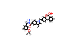 Cc1c(C)n(Cc2ccc(-c3ccccc3C(=O)O)cc2)c2ccc(C(=O)N[C@@H](C)c3cccc(OC(C)C)c3)cc12